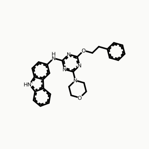 c1ccc(CCOc2nc(Nc3ccc4[nH]c5ccccc5c4c3)nc(N3CCOCC3)n2)cc1